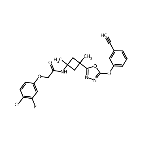 C#Cc1cccc(Oc2nnc(C3(C)CC(C)(NC(=O)COc4ccc(Cl)c(F)c4)C3)o2)c1